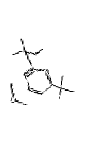 CC(C)(C)c1cccc(C(C)(C)C)c1.COC